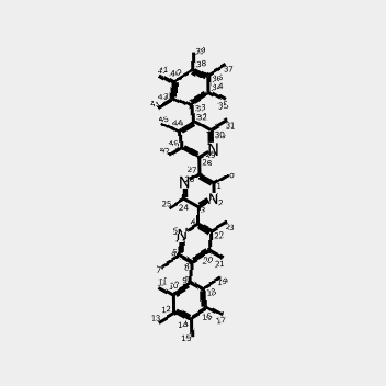 Cc1nc(-c2nc(C)c(-c3c(C)c(C)c(C)c(C)c3C)c(C)c2C)c(C)nc1-c1nc(C)c(-c2c(C)c(C)c(C)c(C)c2C)c(C)c1C